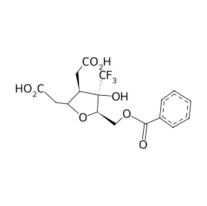 O=C(O)CC1O[C@H](COC(=O)c2ccccc2)[C@@](O)(C(F)(F)F)[C@@H]1CC(=O)O